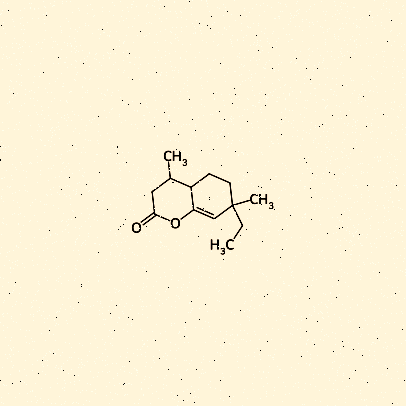 CCC1(C)C=C2OC(=O)CC(C)C2CC1